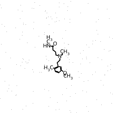 CCN(CCCC(=O)NC)CCc1cc(OC)ccc1C